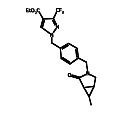 CCOC(=O)c1cn(Cc2ccc(CN3CC4C(C)C4C3=O)cc2)nc1C(F)(F)F